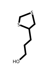 OCCCC1CSCS1